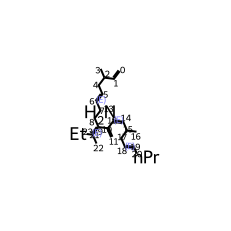 C=CC(C)C/C=C/CC/C(C(=C)/C(N)=C\C(C)C/C=C/CCC)=C(/C)CC